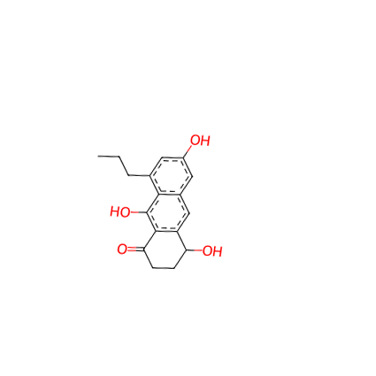 CCCc1cc(O)cc2cc3c(c(O)c12)C(=O)CCC3O